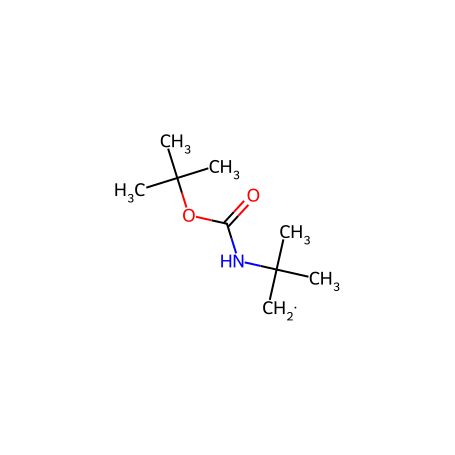 [CH2]C(C)(C)NC(=O)OC(C)(C)C